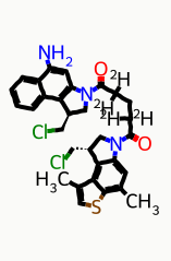 [2H]C([2H])(CC([2H])([2H])C(=O)N1C[C@@H](CCl)c2c1cc(C)c1scc(C)c21)C(=O)N1C[C@@H](CCl)c2c1cc(N)c1ccccc21